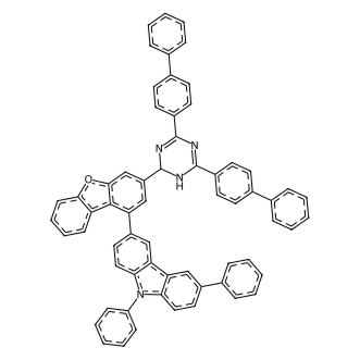 c1ccc(-c2ccc(C3=NC(c4cc(-c5ccc6c(c5)c5cc(-c7ccccc7)ccc5n6-c5ccccc5)c5c(c4)oc4ccccc45)NC(c4ccc(-c5ccccc5)cc4)=N3)cc2)cc1